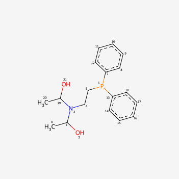 CC(O)N(CCP(c1ccccc1)c1ccccc1)C(C)O